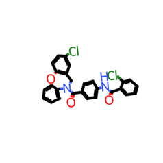 O=C(Nc1ccc(C(=O)N2Cc3cc(Cl)ccc3Oc3ccccc32)cc1)c1ccccc1Cl